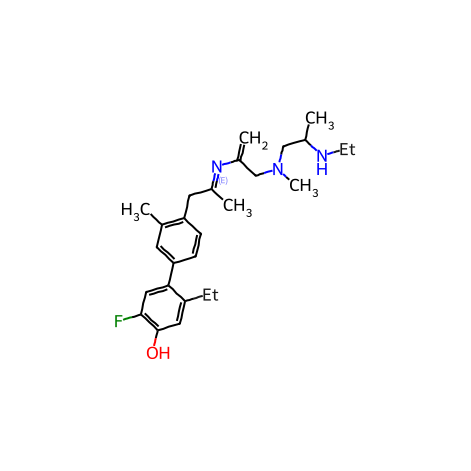 C=C(CN(C)CC(C)NCC)/N=C(\C)Cc1ccc(-c2cc(F)c(O)cc2CC)cc1C